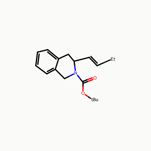 CC/C=C/C1Cc2ccccc2CN1C(=O)OC(C)(C)C